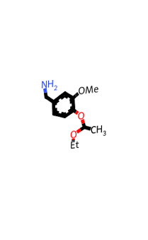 CCOC(C)Oc1ccc(CN)cc1OC